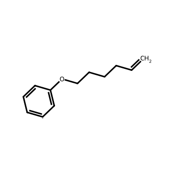 C=CCCCCOc1c[c]ccc1